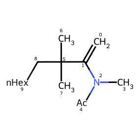 C=C(N(C)C(C)=O)C(C)(C)CCCCCCC